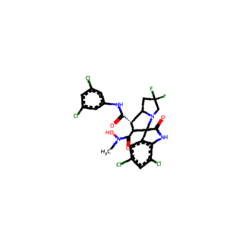 CN(O)C(=O)C1[C@H](C(=O)Nc2cc(Cl)cc(Cl)c2)C2CC(F)(F)CN2C12C(=O)Nc1c(Cl)cc(Cl)cc12